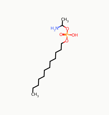 CCCCCCCCCCCCOP(=O)(O)OC(C)N